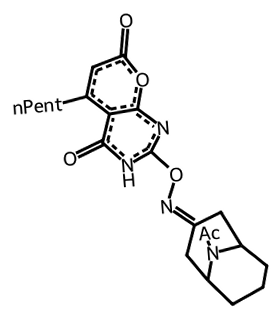 CCCCCc1cc(=O)oc2nc(ON=C3CC4CCCC(C3)N4C(C)=O)[nH]c(=O)c12